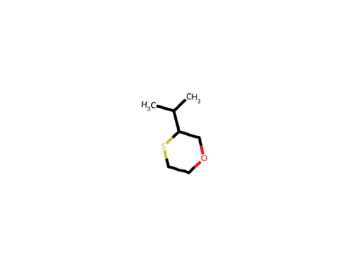 CC(C)C1COCCS1